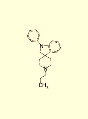 CCCN1CCC2(CC1)CN(c1ccccc1)c1ccccc12